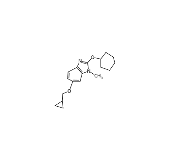 Cn1c(OC2CCCCC2)nc2ccc(OCC3CC3)cc21